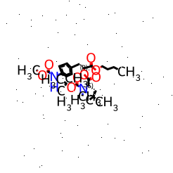 CCCCOC(=O)[C@@H](Cc1ccc(NC(=O)OC)cc1)OC(=O)[C@H](CC(C)C)N(C)C(=O)OC(C)(C)C